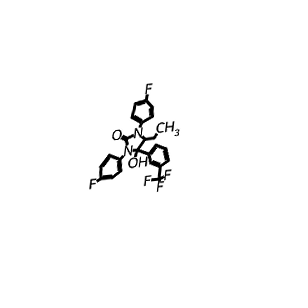 CCC1N(c2ccc(F)cc2)C(=O)N(c2ccc(F)cc2)C1(O)c1cccc(C(F)(F)F)c1